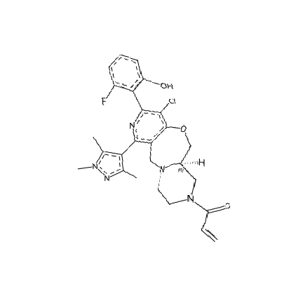 C=CC(=O)N1CCN2Cc3c(-c4c(C)nn(C)c4C)nc(-c4c(O)cccc4F)c(Cl)c3OC[C@H]2C1